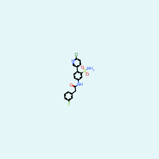 NS(=O)(=O)c1cc(NC(=O)Cc2cccc(F)c2)ccc1-c1ccc(Cl)nc1